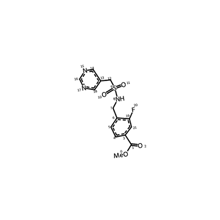 COC(=O)c1ccc(CNS(=O)(=O)Cc2cncnc2)c(F)c1